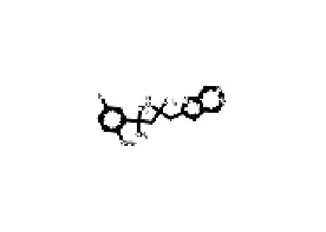 COc1ccc(F)cc1C(C)(CC(C)(O)Cc1cc2cnncc2s1)C(F)(F)F